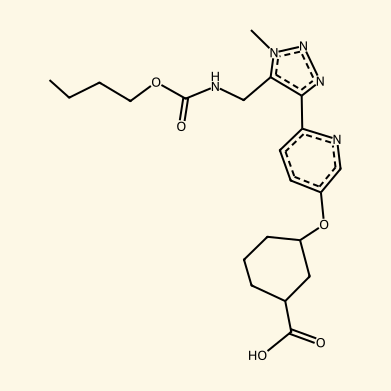 CCCCOC(=O)NCc1c(-c2ccc(OC3CCCC(C(=O)O)C3)cn2)nnn1C